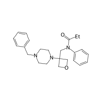 CCC(=O)N(CC1(N2CCN(Cc3ccccc3)CC2)COC1)c1ccccc1